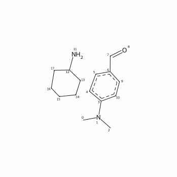 CN(C)c1ccc(C=O)cc1.NC1CCCCC1